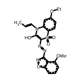 C/C=C/N1C(O)=C(N=Nc2noc3cccc(OC)c23)S(=O)(=O)c2ccc(OCC)cc21